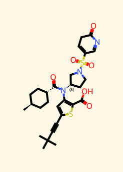 CC(C)(C)C#Cc1cc(N(C(=O)[C@H]2CC[C@H](C)CC2)[C@H]2CCN(S(=O)(=O)C3=CCC(=O)N=C3)C2)c(C(=O)O)s1